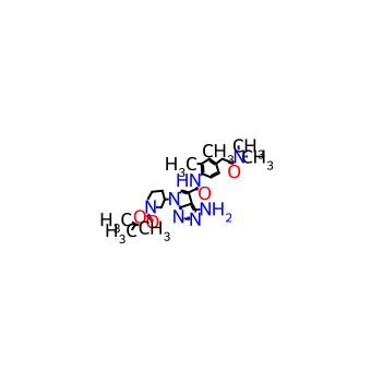 Cc1c(CC(=O)N(C)C)ccc(NC(=O)c2cn(C3CCCN(C(=O)OC(C)(C)C)C3)c3ncnc(N)c23)c1C